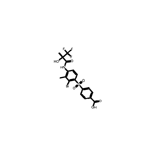 Cc1c(NC(=O)C(C)(O)C(F)(F)F)ccc(S(=O)(=O)c2ccc(C(=O)O)cc2)c1Br